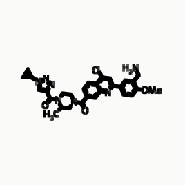 COc1ccc(-c2cc(Cl)c3ccc(C(=O)N4CCN(C(=O)c5cn(C6CC6)nn5)C(C)C4)cc3n2)cc1CN